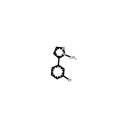 CCc1cccc(-c2ccnn2C)c1